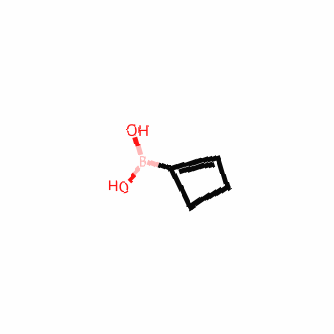 OB(O)C1=CCC1